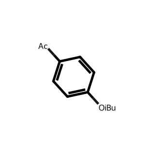 CC(=O)c1ccc(OCC(C)C)cc1